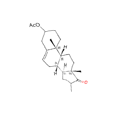 CC(=O)OC1CC[C@@]2(C)C(=CC[C@@H]3[C@H]2CC[C@]2(C)C(=O)C(C)C[C@@H]32)C1